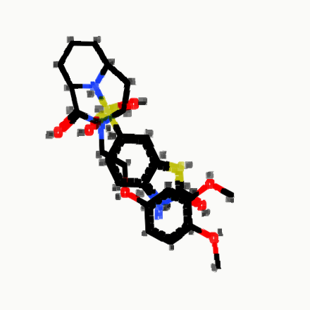 COc1ccc(OCCN2CCC3CCCC(C2=O)N3S(=O)(=O)c2ccc3[nH]c(=O)sc3c2)cc1OC